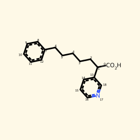 O=C(O)C(CCCCCc1ccccc1)c1cccnc1